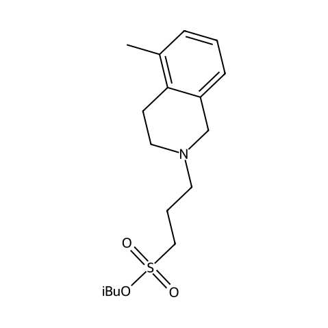 Cc1cccc2c1CCN(CCCS(=O)(=O)OCC(C)C)C2